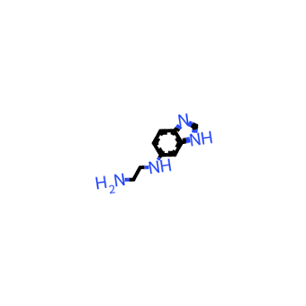 NCCNc1ccc2nc[nH]c2c1